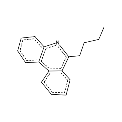 CCCCc1nc2ccccc2c2ccccc12